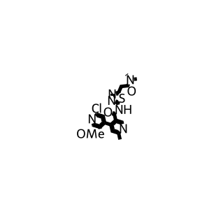 COc1cnc(Cl)cc1-c1cc(C)ncc1C(=O)Nc1nnc(CC(=O)N(C)C)s1